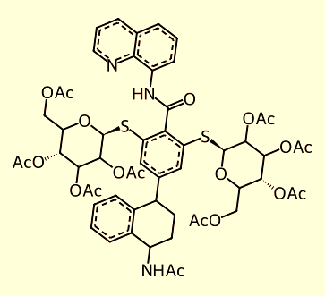 CC(=O)NC1CCC(c2cc(S[C@@H]3OC(COC(C)=O)[C@@H](OC(C)=O)C(OC(C)=O)C3OC(C)=O)c(C(=O)Nc3cccc4cccnc34)c(S[C@@H]3OC(COC(C)=O)[C@@H](OC(C)=O)C(OC(C)=O)C3OC(C)=O)c2)c2ccccc21